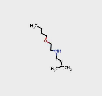 CCCCOCCNCCC(C)C